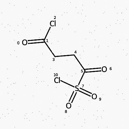 O=C(Cl)CCC(=O)S(=O)(=O)Cl